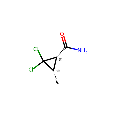 C[C@H]1[C@@H](C(N)=O)C1(Cl)Cl